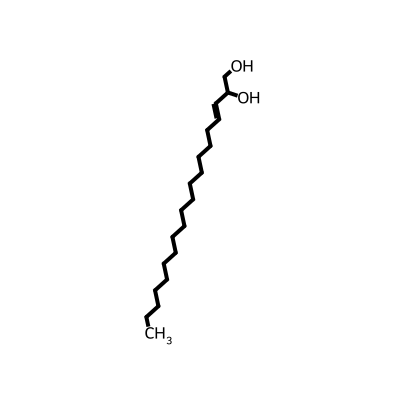 CCCCCCCCCCCCCCCCC=CC(O)CO